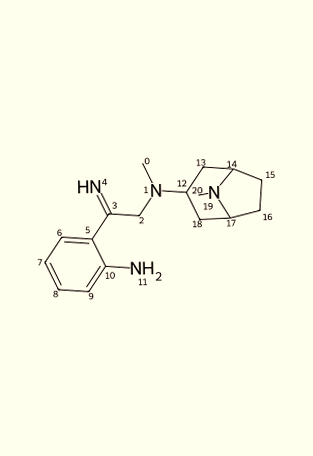 CN(CC(=N)c1ccccc1N)C1CC2CCC(C1)N2C